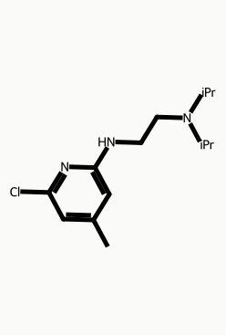 Cc1cc(Cl)nc(NCCN(C(C)C)C(C)C)c1